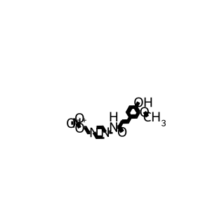 COc1cc(/C=C/C(=O)NCN2CCN(CCO[N+](=O)[O-])CC2)ccc1O